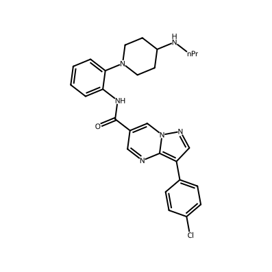 CCCNC1CCN(c2ccccc2NC(=O)c2cnc3c(-c4ccc(Cl)cc4)cnn3c2)CC1